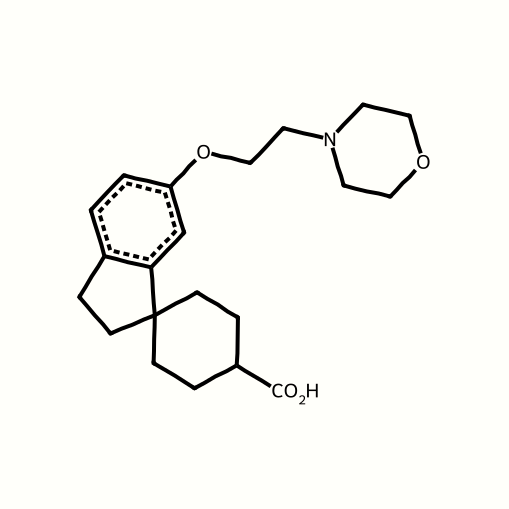 O=C(O)C1CCC2(CCc3ccc(OCCN4CCOCC4)cc32)CC1